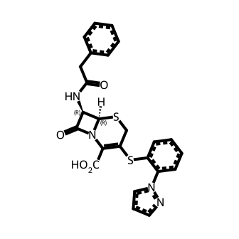 O=C(Cc1ccccc1)N[C@@H]1C(=O)N2C(C(=O)O)=C(Sc3ccccc3-n3cccn3)CS[C@H]12